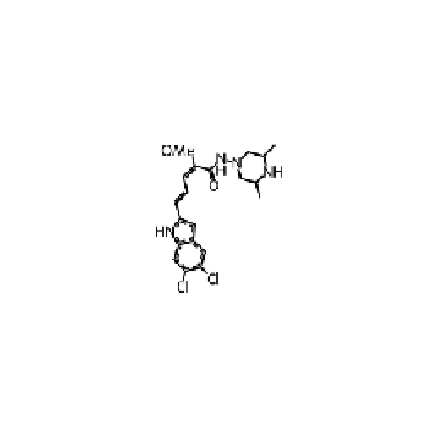 COC(=CC=Cc1cc2cc(Cl)c(Cl)cc2[nH]1)C(=O)NN1CC(C)NC(C)C1